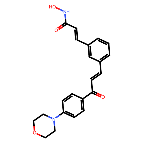 O=C(/C=C/c1cccc(/C=C/C(=O)c2ccc(N3CCOCC3)cc2)c1)NO